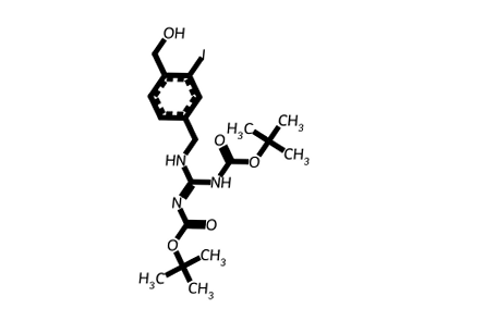 CC(C)(C)OC(=O)/N=C(/NCc1ccc(CO)c(I)c1)NC(=O)OC(C)(C)C